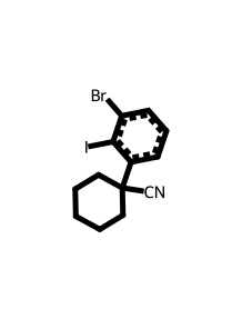 N#CC1(c2cccc(Br)c2I)CCCCC1